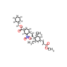 COC(=O)C=Cc1cc(C)c(C=Cc2ccc(C(=O)OCc3ccccc3)cc2[N+](=O)[O-])c(C)c1